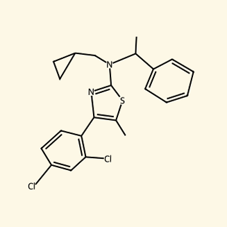 Cc1sc(N(CC2CC2)C(C)c2ccccc2)nc1-c1ccc(Cl)cc1Cl